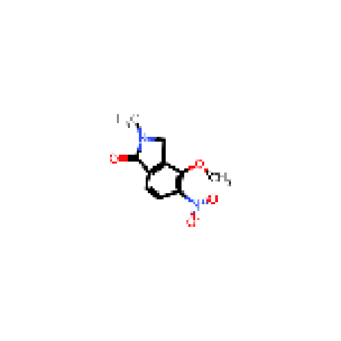 COc1c([N+](=O)[O-])ccc2c1CN(C)C2=O